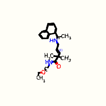 CCOCCNC(=O)C(C)(C)/C=C/CN[C@H](C)c1cccc2ccccc12